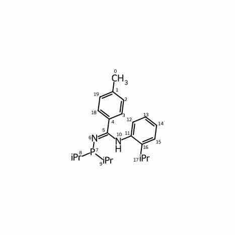 Cc1ccc(C(=NP(C(C)C)C(C)C)Nc2ccccc2C(C)C)cc1